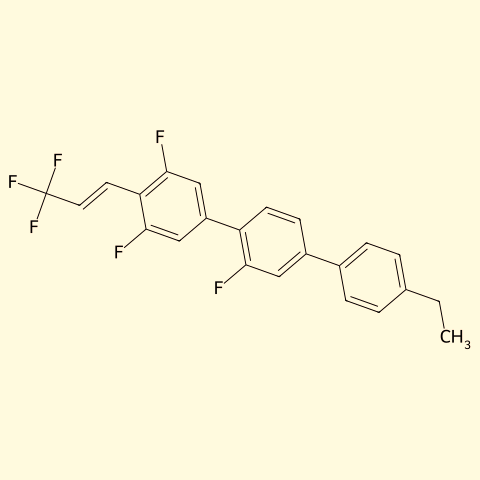 CCc1ccc(-c2ccc(-c3cc(F)c(/C=C/C(F)(F)F)c(F)c3)c(F)c2)cc1